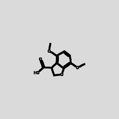 COc1ccc(OC)c2c1OCC2C(=O)O